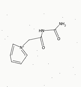 NC(=O)NC(=O)C[n+]1ccccc1